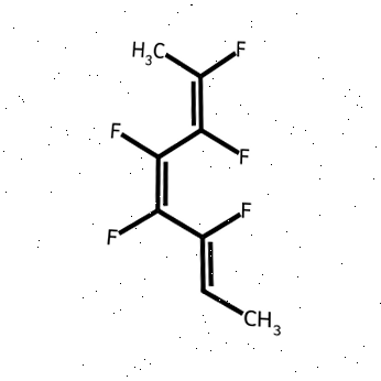 C/C=C(F)/C(F)=C(F)\C(F)=C(/C)F